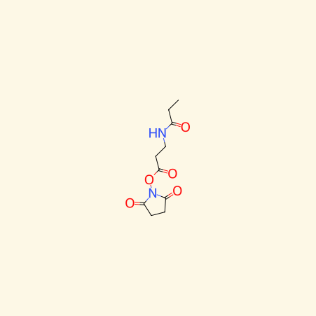 CCC(=O)NCCC(=O)ON1C(=O)CCC1=O